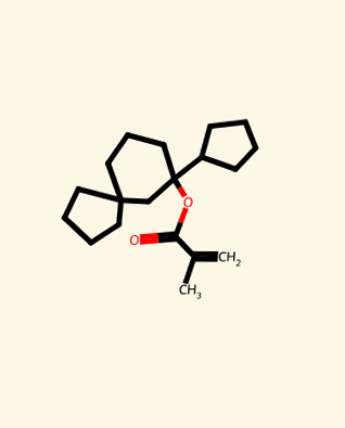 C=C(C)C(=O)OC1(C2CCCC2)CCCC2(CCCC2)C1